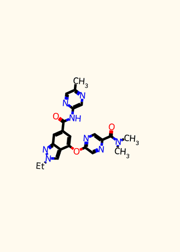 CCn1cc2c(Oc3cnc(C(=O)N(C)C)cn3)cc(C(=O)Nc3cnc(C)cn3)cc2n1